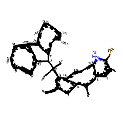 Cc1cc2c(C)c3ccc(Br)[nH]c3cc2c1C(C)(C)C1c2ccccc2-c2ccccc21